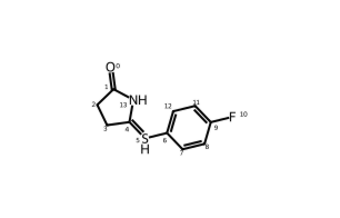 O=C1CCC(=[SH]c2ccc(F)cc2)N1